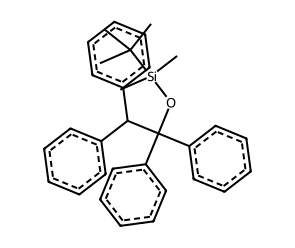 CC(C)(C)[Si](C)(C)OC(c1ccccc1)(c1ccccc1)C(c1ccccc1)c1ccccc1